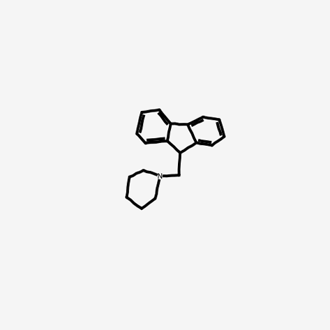 c1ccc2c(c1)-c1ccccc1C2CN1CCCCC1